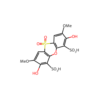 COc1cc2c(c(S(=O)(=O)O)c1O)Oc1c(cc(OC)c(O)c1S(=O)(=O)O)S2(=O)=O